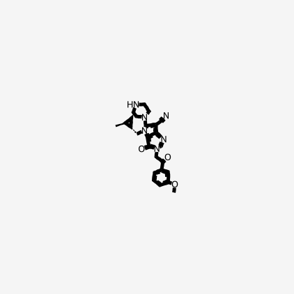 COc1cccc(C(=O)Cn2cnc3c(C#N)c(N4CCNCC4)n(C[C@H]4C[C@@H]4C)c3c2=O)c1